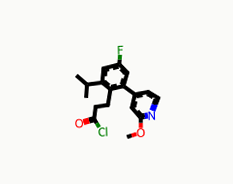 COc1cc(-c2cc(F)cc(C(C)C)c2CCC(=O)Cl)ccn1